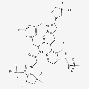 C[C@H]1CC(F)(F)c2c1c(C(F)(F)F)nn2CC(=O)NC(Cc1cc(F)cc(F)c1)c1nc2nc(N3CCC(C)(O)C3)sc2cc1-c1cccc2c(NS(C)(=O)=O)nn(C)c12